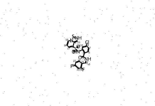 C[C@@H](NC(=O)c1ccc(Cl)cc1NS(=O)(=O)C1=CC=CN2SNC=C12)c1ccc(F)cc1F